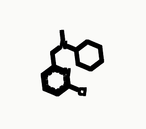 CN(Cc1cccc(Cl)n1)C1CCCCC1